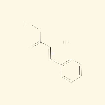 COC(=O)/C=C/c1ccccc1.O